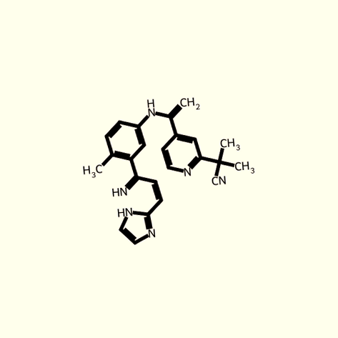 C=C(Nc1ccc(C)c(C(=N)/C=C\c2ncc[nH]2)c1)c1ccnc(C(C)(C)C#N)c1